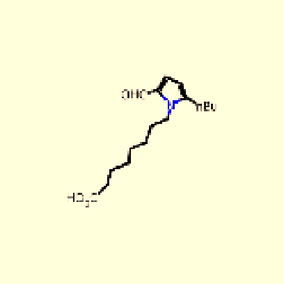 CCCCc1ccc(C=O)n1CCCCCCCC(=O)O